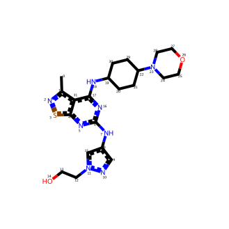 Cc1nsc2nc(Nc3cnn(CCO)c3)nc(NC3CCC(N4CCOCC4)CC3)c12